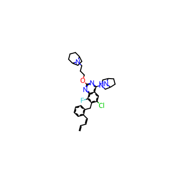 C=C/C=C\c1ccccc1Cc1c(Cl)cc2c(N3CC4CCC(C3)N4)nc(OCCCN3C4CCCC3CC4)nc2c1F